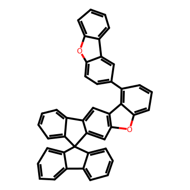 c1ccc2c(c1)-c1ccccc1C21c2ccccc2-c2cc3c(cc21)oc1cccc(-c2ccc4oc5ccccc5c4c2)c13